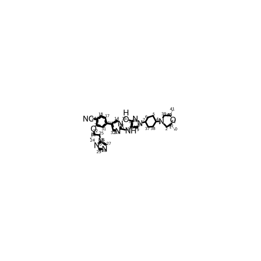 C[C@@H]1CN(C2CCC(n3cc(Nc4ncc(-c5ccc(C#N)c(O[C@@H](C)Cn6cncn6)c5)cn4)c(O)n3)CC2)C[C@H](C)O1